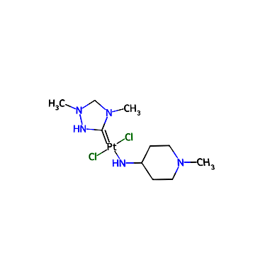 CN1CCC([NH][Pt]([Cl])([Cl])=[C]2NN(C)CN2C)CC1